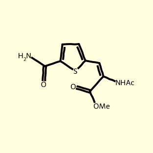 COC(=O)C(=Cc1ccc(C(N)=O)s1)NC(C)=O